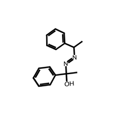 CC(N=NC(C)(O)c1ccccc1)c1ccccc1